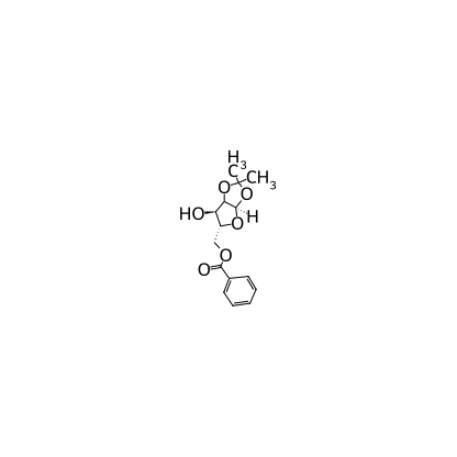 CC1(C)OC2[C@H](O[C@H](COC(=O)c3ccccc3)[C@H]2O)O1